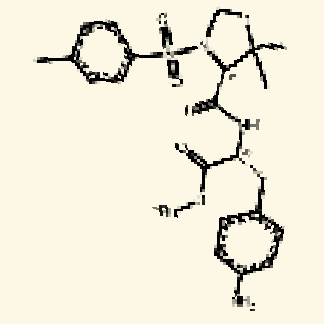 Cc1ccc(S(=O)(=O)N2CSC(C)(C)[C@H]2C(=O)N[C@H](Cc2ccc(N)cc2)C(=O)OC(C)(C)C)cc1